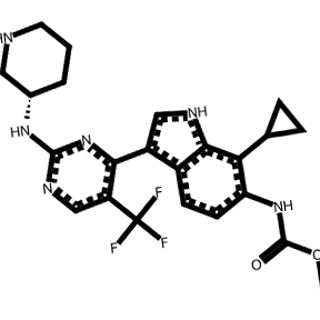 COC(=O)Nc1ccc2c(-c3nc(N[C@H]4CCCNC4)ncc3C(F)(F)F)c[nH]c2c1C1CC1